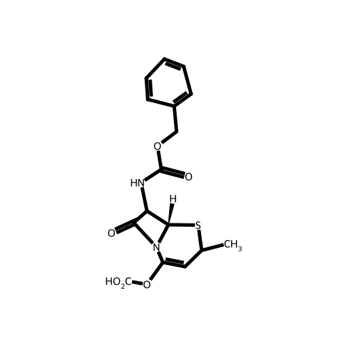 CC1C=C(OC(=O)O)N2C(=O)C(NC(=O)OCc3ccccc3)[C@@H]2S1